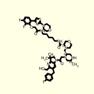 C[C@@H]1CN(CC(=O)N2CC(C)(C)c3nc(CO)c(Cc4ccc(F)cc4)cc32)[C@@H](CN2CCOC[C@H]2C(=O)NCCCCCNC(=O)COc2c(-c3csc(N4CCOCC4)n3)ccc(F)c2F)CN1